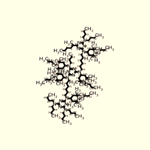 CCCCC(C)c1nc(N(CCCC)CCCC)nc(N(CCCCCCN(c2nc(N(CCCC)C3CC(C)(C)N(OCCC)C(C)(C)C3)nc(N(CCCCCCN(c3nc(N(CCCC)CCCC)nc(N(CCCC)CCCC)n3)C3CC(C)(C)N(OCCC)C(C)(C)C3)C3CC(C)(C)N(OCCC)C(C)(C)C3)n2)C2CC(C)(C)N(OCCC)C(C)(C)C2)C2CC(C)(C)N(OCCC)C(C)(C)C2)n1